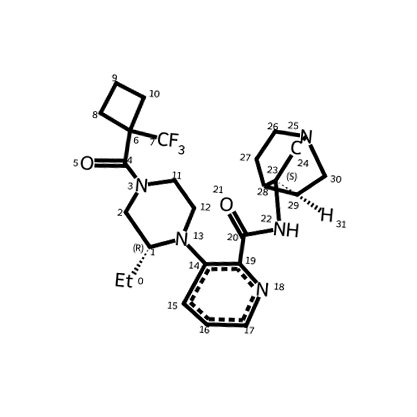 CC[C@@H]1CN(C(=O)C2(C(F)(F)F)CCC2)CCN1c1cccnc1C(=O)N[C@@H]1CN2CCC1CC2